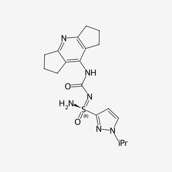 CC(C)n1ccc([S@](N)(=O)=NC(=O)Nc2c3c(nc4c2CCC4)CCC3)n1